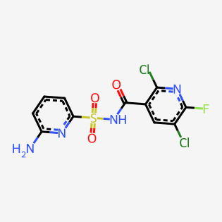 Nc1cccc(S(=O)(=O)NC(=O)c2cc(Cl)c(F)nc2Cl)n1